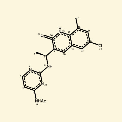 CC(=O)Nc1ccnc(N[C@@H](C)c2cc3cc(Cl)cc(C)c3[nH]c2=O)n1